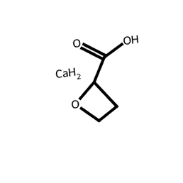 O=C(O)C1CCO1.[CaH2]